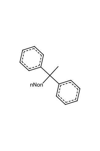 CCCCCCCCCC(C)(c1ccccc1)c1ccccc1